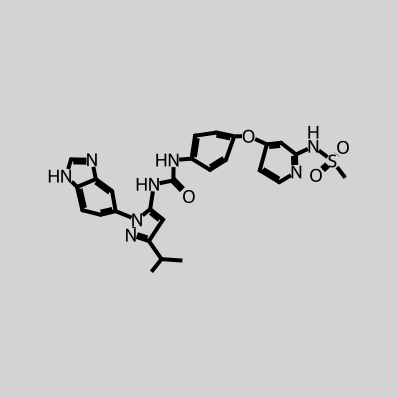 CC(C)c1cc(NC(=O)Nc2ccc(Oc3ccnc(NS(C)(=O)=O)c3)cc2)n(-c2ccc3[nH]cnc3c2)n1